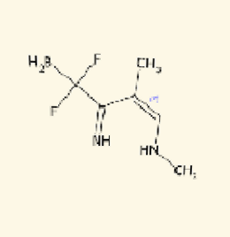 BC(F)(F)C(=N)/C(C)=C\NC